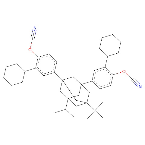 CC(C)C12CC3(c4ccc(OC#N)c(C5CCCCC5)c4)CC(c4ccc(OC#N)c(C5CCCCC5)c4)(C1)CC(C(C)(C)C)(C3)C2